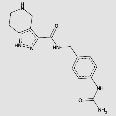 NC(=O)Nc1ccc(CNC(=O)c2n[nH]c3c2CNCC3)cc1